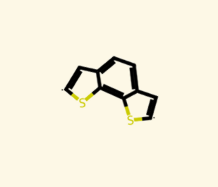 [c]1cc2ccc3c[c]sc3c2s1